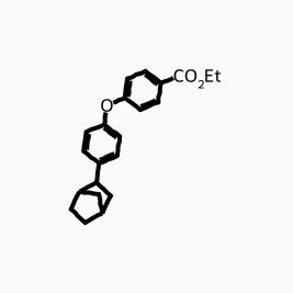 CCOC(=O)c1ccc(Oc2ccc(C3CC4CCC3C4)cc2)cc1